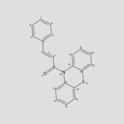 O=C(/C=C/c1ccccc1)N1c2ccccc2Sc2ccccc21